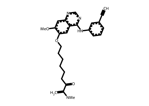 C#Cc1cccc(Nc2ncnc3cc(OC)c(OCCCCCCC(=O)C(=C)NC)cc23)c1